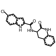 O=C(NC1Cc2ccccc2NC1=O)c1cc2cc(Cl)ccc2[nH]1